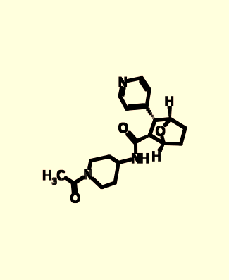 CC(=O)N1CCC(NC(=O)[C@H]2[C@H](c3ccncc3)[C@@H]3CC[C@H]2O3)CC1